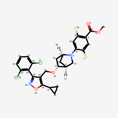 COC(=O)c1cc(F)c(N2C[C@@H]3C[C@H]2C[C@H]3OCc2c(-c3c(Cl)cccc3Cl)noc2C2CC2)cc1F